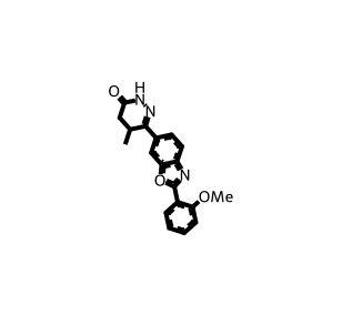 COc1ccccc1-c1nc2ccc(C3=NNC(=O)CC3C)cc2o1